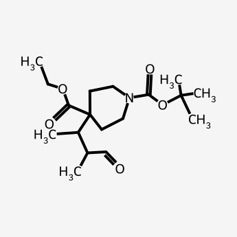 CCOC(=O)C1(C(C)C(C)C=O)CCN(C(=O)OC(C)(C)C)CC1